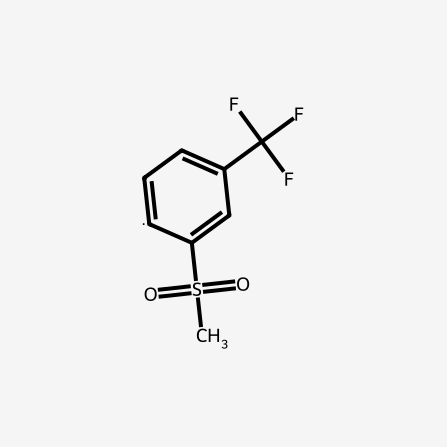 CS(=O)(=O)c1[c]ccc(C(F)(F)F)c1